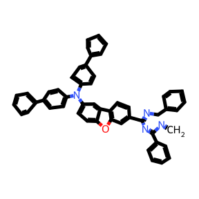 C=N/C(=N\C(=N/Cc1ccccc1)c1ccc2c(c1)oc1ccc(N(c3ccc(-c4ccccc4)cc3)c3ccc(-c4ccccc4)cc3)cc12)c1ccccc1